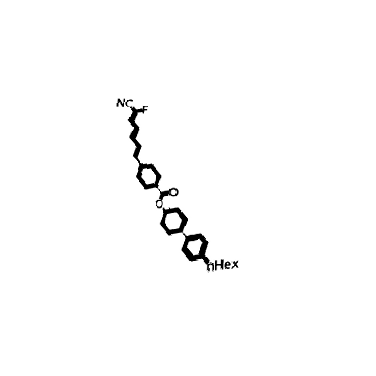 CCCCCCc1ccc([C@H]2CC[C@H](OC(=O)[C@H]3CC[C@H](CCC=CC=C(F)C#N)CC3)CC2)cc1